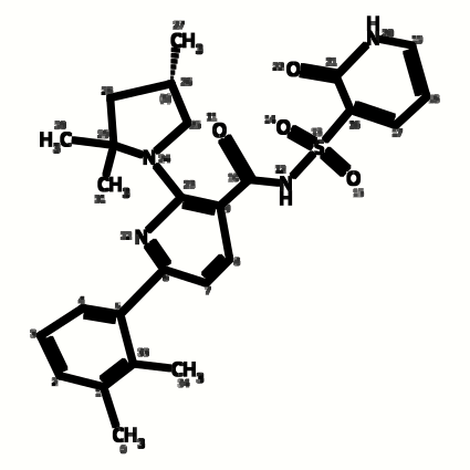 Cc1cccc(-c2ccc(C(=O)NS(=O)(=O)c3ccc[nH]c3=O)c(N3C[C@@H](C)CC3(C)C)n2)c1C